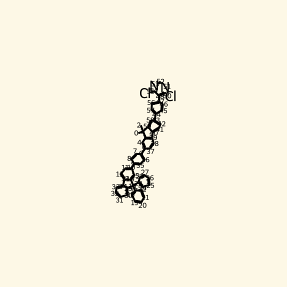 CC1(C)c2cc(-c3ccc(-c4ccc5c(c4)C(c4ccccc4)(c4ccccc4)c4ccccc4-5)cc3)ccc2-c2ccc(-c3ccc(-c4c(Cl)ncnc4Cl)cc3)cc21